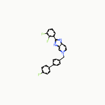 Fc1ccc(-c2ccc(Cn3ccc4nc(-c5cccc(F)c5F)nc-4c3)cc2)cc1